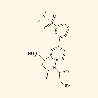 CC(C)CC(=O)N1c2ccc(-c3cccc(S(=O)(=O)N(C)C)c3)cc2N(C(=O)O)C[C@@H]1C